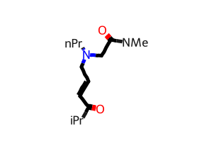 CCCN(C/C=C/C(=O)C(C)C)CC(=O)NC